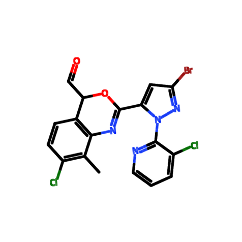 Cc1c(Cl)ccc2c1N=C(c1cc(Br)nn1-c1ncccc1Cl)OC2C=O